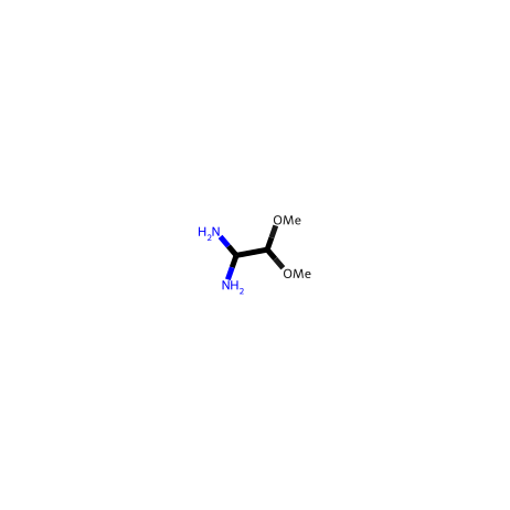 COC(OC)C(N)N